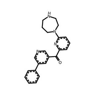 O=C(c1cncc(-c2ccccc2)c1)c1cccc(N2CCCNCC2)n1